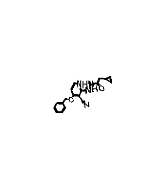 N#Cc1c(OCc2ccccc2)ccnc1NNC(=O)CC1CC1